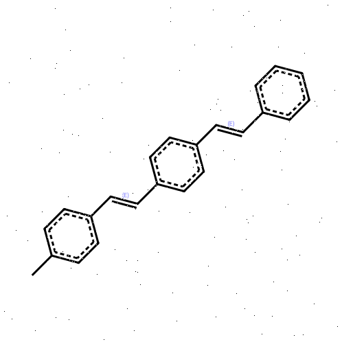 Cc1ccc(/C=C/c2ccc(/C=C/c3ccccc3)cc2)cc1